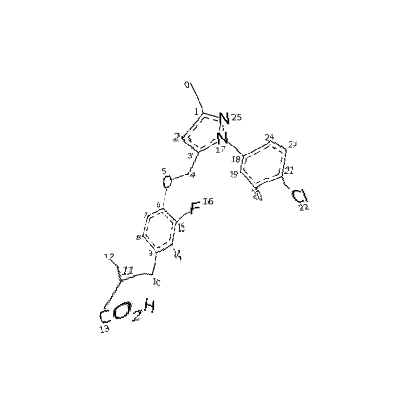 Cc1cc(COc2ccc(CC(C)C(=O)O)cc2F)n(-c2ccc(Cl)cc2)n1